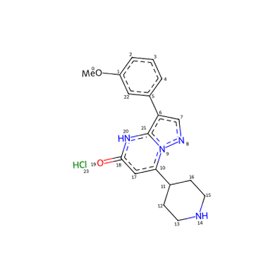 COc1cccc(-c2cnn3c(C4CCNCC4)cc(=O)[nH]c23)c1.Cl